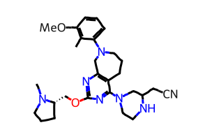 COc1cccc(N2CCCc3c(nc(OC[C@@H]4CCCN4C)nc3N3CCNC(CC#N)C3)C2)c1C